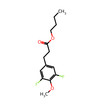 CCCCOC(=O)CCc1cc(F)c(OC)c(F)c1